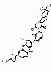 CN1CCC(c2ccc(Nc3cc(-c4ccnc(N5CCn6c(cc7c6CC(C)(C)C7)C5=O)c4CO)cn(C)c3=O)nc2)CC1